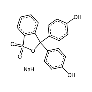 O=S1(=O)OC(c2ccc(O)cc2)(c2ccc(O)cc2)c2ccccc21.[NaH]